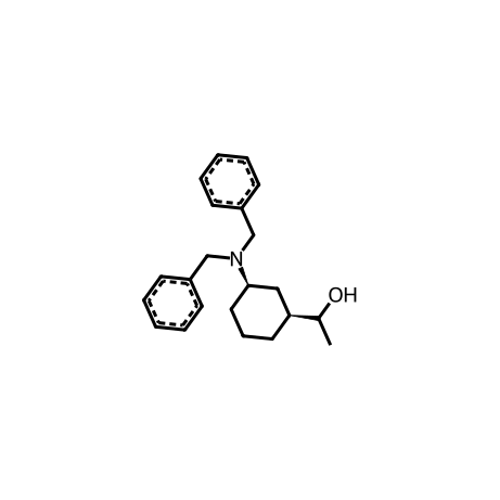 CC(O)[C@H]1CCC[C@@H](N(Cc2ccccc2)Cc2ccccc2)C1